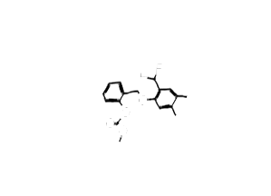 COC(=O)Oc1ccccc1COc1cc(C)c(C)cc1C(F)F